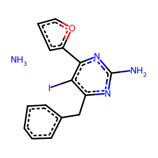 N.Nc1nc(Cc2ccccc2)c(I)c(-c2ccco2)n1